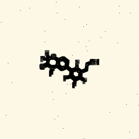 O=C1N(F)c2cc(-c3c(F)c(F)c(F)c(CCO)c3F)ccc2OC1(F)F